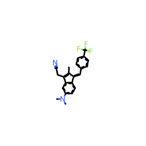 CC1=C(CC#N)c2cc(N(C)C)ccc2C1=Cc1ccc(C(F)(F)F)cc1